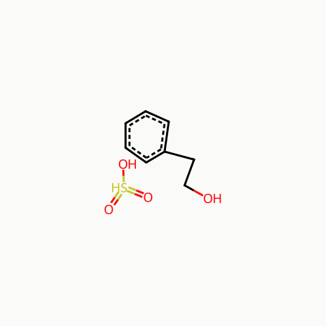 O=[SH](=O)O.OCCc1ccccc1